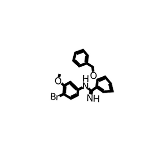 COc1cc(NC(=N)c2ccccc2OCc2ccccc2)ccc1Br